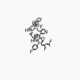 C=C(/C=C(F)\C=C(/C)F)[C@H](c1ccc(F)cc1)[C@H](NC(=O)CC1CC1)C(=O)Nc1cncc(F)c1CC[C@H]1CNCCN1S(=O)(=O)N1CCCC1